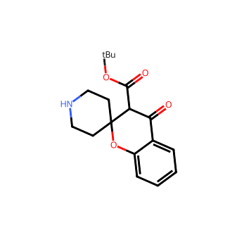 CC(C)(C)OC(=O)C1C(=O)c2ccccc2OC12CCNCC2